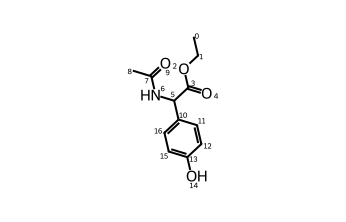 CCOC(=O)C(NC(C)=O)c1ccc(O)cc1